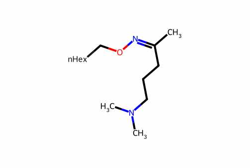 CCCCCCCO/N=C(/C)CCCN(C)C